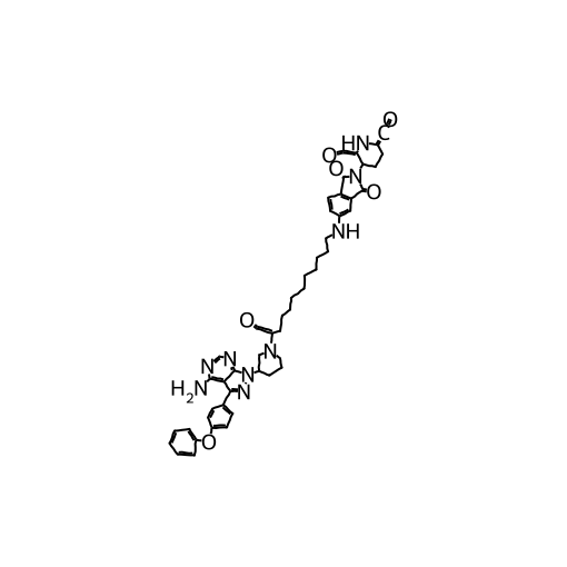 Nc1ncnc2c1c(-c1ccc(Oc3ccccc3)cc1)nn2C1CCCN(C(=C=O)CCCCCCCCCCNc2ccc3c(c2)C(=O)N(C2CCC(=C=O)NC2=C=O)C3=O)C1